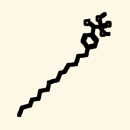 CCCCCCCCCCCCCCCc1ccc(C(Cl)P(=O)(OC)OC)cc1